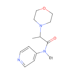 CCN(C(=O)C(C)N1CCOCC1)c1ccncc1